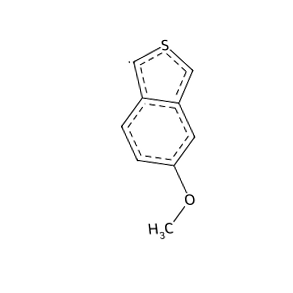 COc1ccc2[c]scc2c1